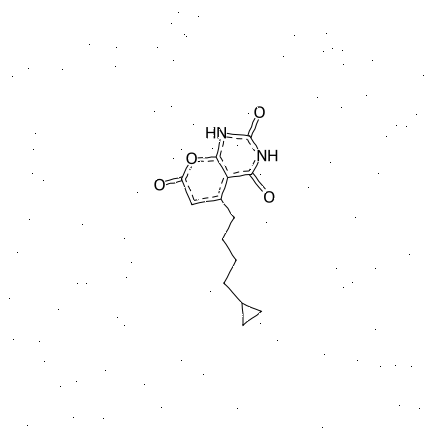 O=c1[nH]c(=O)c2c(CCCCC3CC3)cc(=O)oc2[nH]1